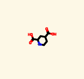 O=C(O)C1CC[N]C(C(=O)O)C1